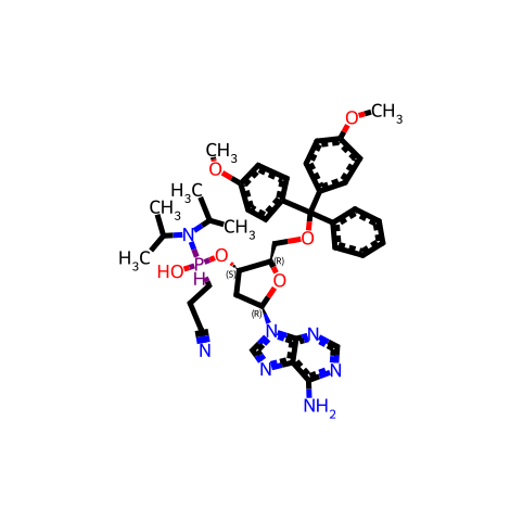 COc1ccc(C(OC[C@H]2O[C@@H](n3cnc4c(N)ncnc43)C[C@@H]2O[PH](O)(CCC#N)N(C(C)C)C(C)C)(c2ccccc2)c2ccc(OC)cc2)cc1